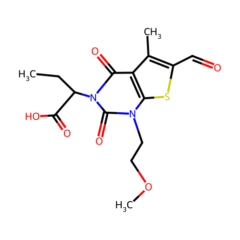 CCC(C(=O)O)n1c(=O)c2c(C)c(C=O)sc2n(CCOC)c1=O